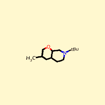 CC1COC2CN(C(C)(C)C)CCC2C1